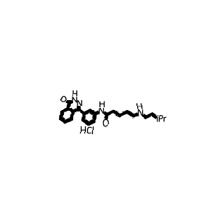 CC(C)CCNCCCCC(=O)Nc1cccc(-c2n[nH]c(=O)c3ccccc23)c1.Cl